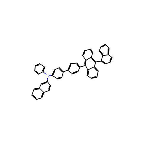 c1ccc(N(c2ccc(-c3ccc(-c4c5ccccc5c(-c5cccc6ccccc56)c5ccccc45)cc3)cc2)c2ccc3ccccc3c2)cc1